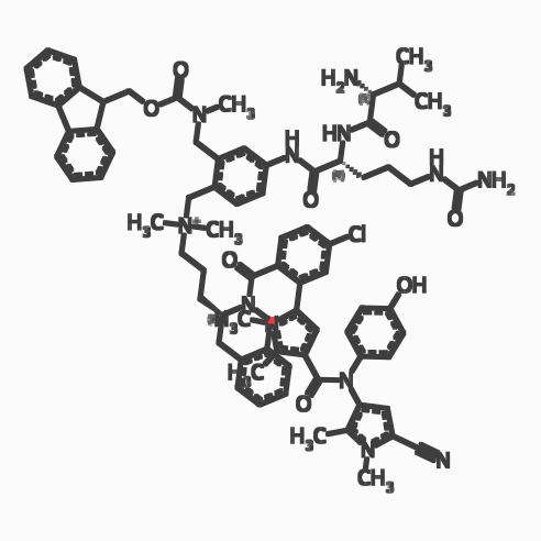 Cc1c(N(C(=O)c2cc(-c3cc(Cl)ccc3C(=O)N3Cc4ccccc4C[C@H]3CCC[N+](C)(C)Cc3ccc(NC(=O)[C@@H](CCCNC(N)=O)NC(=O)[C@H](N)C(C)C)cc3CN(C)C(=O)OCC3c4ccccc4-c4ccccc43)n(C)c2C)c2ccc(O)cc2)cc(C#N)n1C